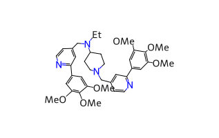 CCN(Cc1ccnc(-c2cc(OC)c(OC)c(OC)c2)c1)C1CCN(Cc2ccnc(-c3cc(OC)c(OC)c(OC)c3)c2)CC1